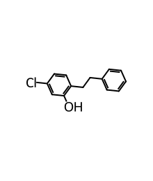 Oc1cc(Cl)ccc1CCc1ccccc1